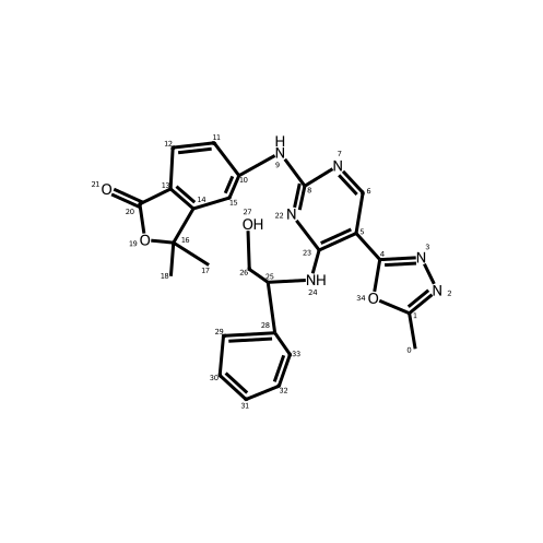 Cc1nnc(-c2cnc(Nc3ccc4c(c3)C(C)(C)OC4=O)nc2NC(CO)c2ccccc2)o1